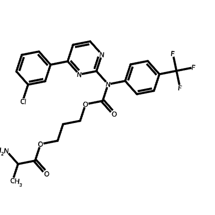 CC(N)C(=O)OCCCOC(=O)N(c1ccc(C(F)(F)F)cc1)c1nccc(-c2cccc(Cl)c2)n1